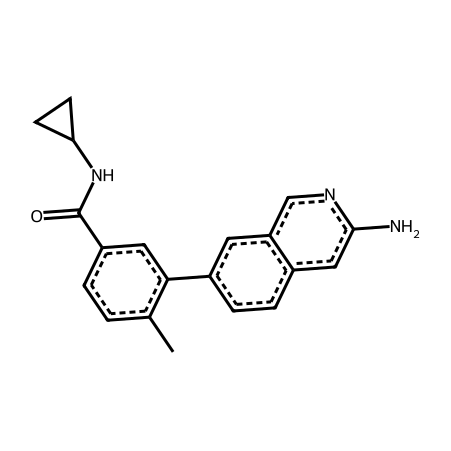 Cc1ccc(C(=O)NC2CC2)cc1-c1ccc2cc(N)ncc2c1